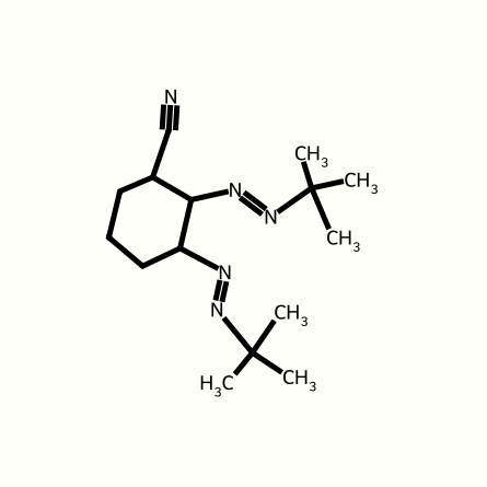 CC(C)(C)N=NC1CCCC(C#N)C1N=NC(C)(C)C